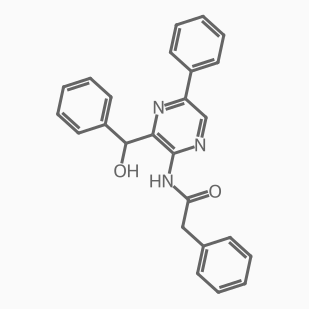 O=C(Cc1ccccc1)Nc1ncc(-c2ccccc2)nc1C(O)c1ccccc1